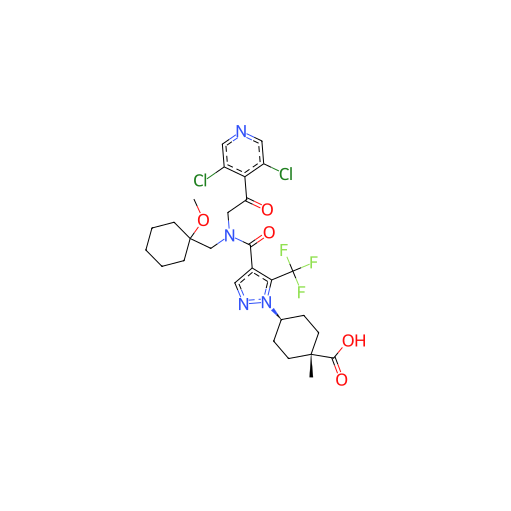 COC1(CN(CC(=O)c2c(Cl)cncc2Cl)C(=O)c2cnn([C@H]3CC[C@](C)(C(=O)O)CC3)c2C(F)(F)F)CCCCC1